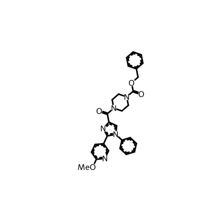 COc1ccc(-c2nc(C(=O)N3CCN(C(=O)OCc4ccccc4)CC3)cn2-c2ccccc2)cn1